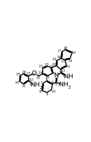 N=C(/N=C(\N)C1=CC=CCC1)c1cc2ccccc2cc1-c1ccc(COc2ccccc2N)cc1